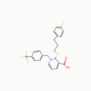 O=C(O)C1=CC=CN(Cc2ccc(C(F)(F)F)cc2)C1SCCCc1ccc(F)cc1